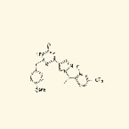 COc1ccc(Cc2nc(-c3cnn(C(C)c4ccc(C(F)(F)F)cc4F)c3)cc(=O)[nH]2)cc1